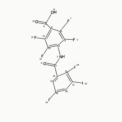 O=C(Nc1c(F)c(F)c(C(=O)O)c(F)c1F)c1cc(I)cc(I)c1I